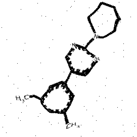 Cc1cc(C)cc(-c2cnc(N3CCCCC3)nc2)c1